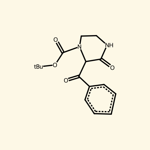 CC(C)(C)OC(=O)N1CCNC(=O)C1C(=O)c1ccccc1